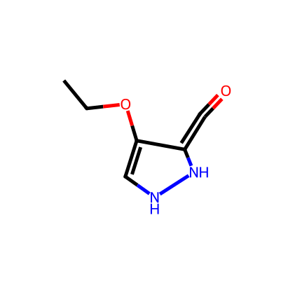 CCOC1=CNNC1=C=O